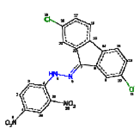 O=[N+]([O-])c1ccc(NN=C2c3cc(Cl)ccc3-c3ccc(Cl)cc32)c([N+](=O)[O-])c1